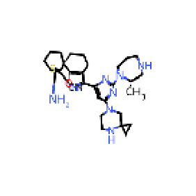 C[C@H]1CNCCCN1c1nc(-c2noc3c2CCC[C@@]32CCCc3sc(N)c(C#N)c32)cc(N2CCNC3(CC3)C2)n1